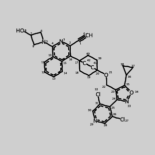 C#Cc1nc(N2CC(O)C2)c2ccccc2c1C12CCC(OCc3c(-c4c(Cl)cncc4Cl)noc3C3CC3)(CC1)CC2